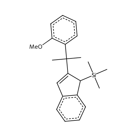 COc1ccccc1C(C)(C)C1=Cc2ccccc2C1[Si](C)(C)C